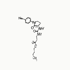 CCCCOC(=O)CCNC(=O)N[C@H]1CCN(c2ccc(C#N)cc2)C1=O